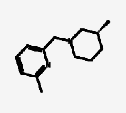 Cc1cccc(CN2CCC[C@@H](C)C2)n1